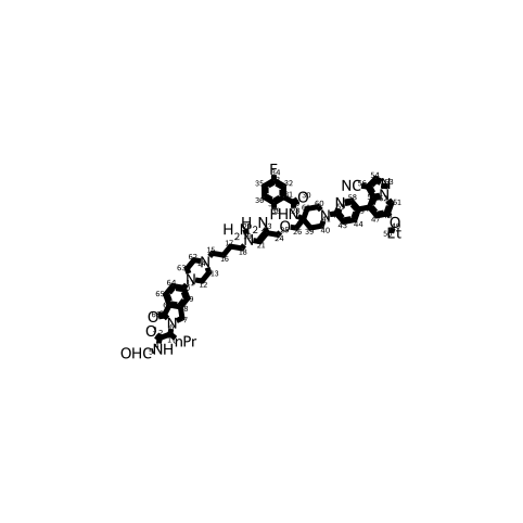 CCCC(C(=O)NC=O)N1Cc2cc(N3CCN(CCCCN(N)/C=C(\N)COCC4(NC(=O)c5cc(F)ccc5F)CCN(c5ccc(-c6cc(OCC)cn7ncc(C#N)c67)cn5)CC4)CC3)ccc2C1=O